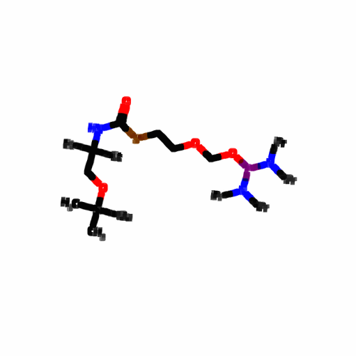 CCC(CC)(CO[Si](C)(C)C(C)(C)C)NC(=O)SCCOCOP(N(C(C)C)C(C)C)N(C(C)C)C(C)C